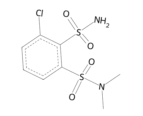 CN(C)S(=O)(=O)c1cccc(Cl)c1S(N)(=O)=O